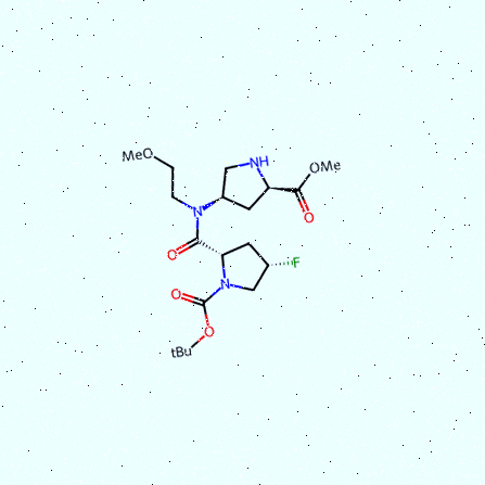 COCCN(C(=O)[C@@H]1C[C@H](F)CN1C(=O)OC(C)(C)C)[C@H]1CN[C@@H](C(=O)OC)C1